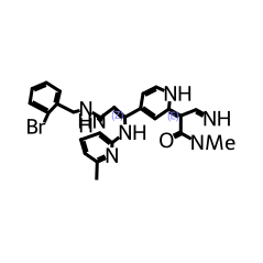 CNC(=O)/C(C=N)=C1C=C(/C(=C/C(=N)NCc2ccccc2Br)Nc2cccc(C)n2)C=CN\1